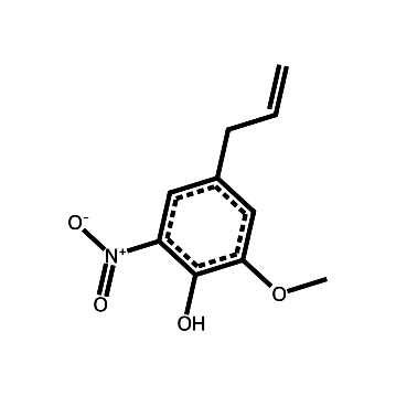 C=CCc1cc(OC)c(O)c([N+](=O)[O-])c1